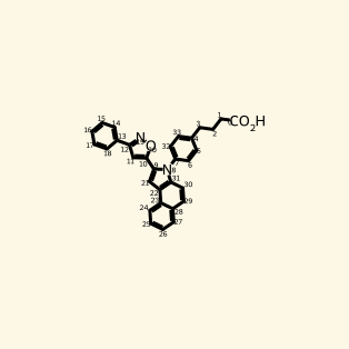 O=C(O)CCCc1ccc(-n2c(-c3cc(-c4ccccc4)no3)cc3c4ccccc4ccc32)cc1